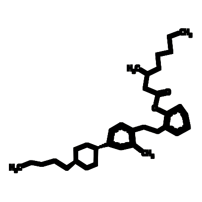 CCCCCC(C)CC(=O)Oc1ccccc1CCc1ccc([C@H]2CC[C@H](CCCCC)CC2)cc1C